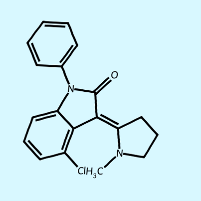 CN1CCCC1=C1C(=O)N(c2ccccc2)c2cccc(Cl)c21